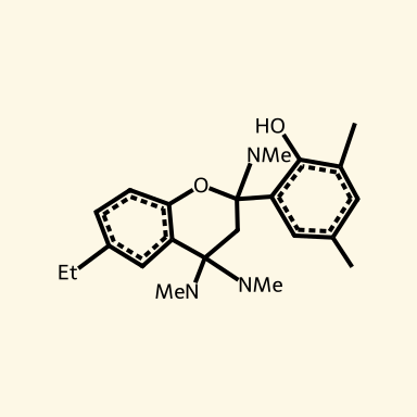 CCc1ccc2c(c1)C(NC)(NC)CC(NC)(c1cc(C)cc(C)c1O)O2